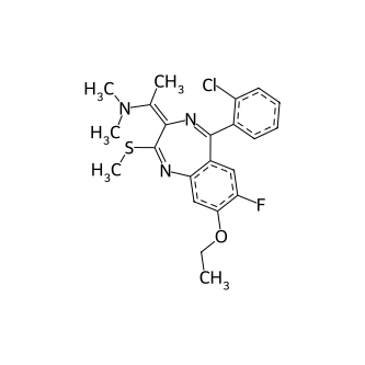 CCOc1cc2c(cc1F)C(c1ccccc1Cl)=NC(=C(C)N(C)C)C(SC)=N2